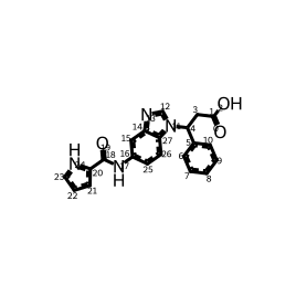 O=C(O)CC(c1ccccc1)n1cnc2cc(NC(=O)c3ccc[nH]3)ccc21